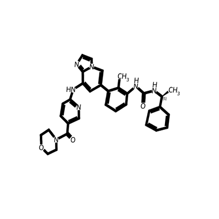 Cc1c(NC(=O)N[C@@H](C)c2ccccc2)cccc1-c1cc(Nc2ccc(C(=O)N3CCOCC3)cn2)c2nccn2c1